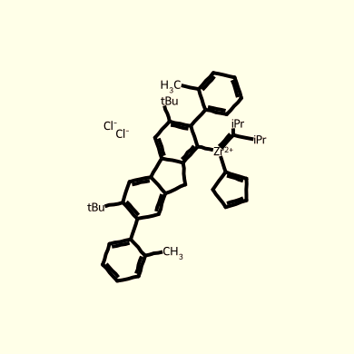 Cc1ccccc1-c1cc2c(cc1C(C)(C)C)-c1cc(C(C)(C)C)c(-c3ccccc3C)[c]([Zr+2]([C]3=CC=CC3)=[C](C(C)C)C(C)C)c1C2.[Cl-].[Cl-]